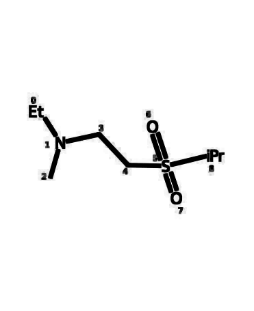 CCN(C)CCS(=O)(=O)C(C)C